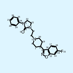 O=C1N(CCN2CCC(c3noc4cc(F)ccc34)CC2)CCN1c1ccccc1